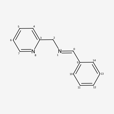 C(=NCc1ccccn1)c1ccccc1